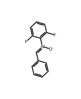 [O-][N+](=Cc1ccccc1)c1c(F)cccc1F